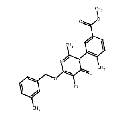 COC(=O)c1ccc(C)c(-n2c(C)nc(OCc3cccc(C)c3)c(Cl)c2=O)c1